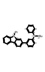 CC(C)n1c2ccccc2c2ccc(-c3cccc(N(c4ccccc4)C(C)(C)C)c3)cc21